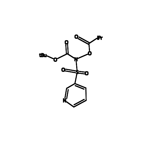 CC(C)C(=O)ON(C(=O)OC(C)(C)C)S(=O)(=O)c1cccnc1